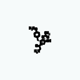 COc1ccc(C[C@@H]2[C@H](OC(C)=O)[C@@H](O)CN2C(=O)CN)cc1